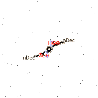 CCCCCCCCCCCCCOCC(O)CNc1ccc(NCC(O)COCCCCCCCCCCCCC)cc1